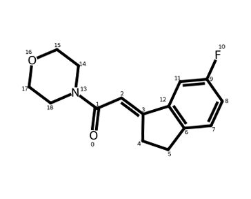 O=C(C=C1CCc2ccc(F)cc21)N1CCOCC1